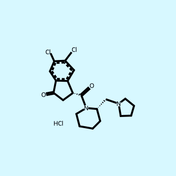 Cl.O=C1C[C@@H](C(=O)N2CCCC[C@H]2CN2CCCC2)c2cc(Cl)c(Cl)cc21